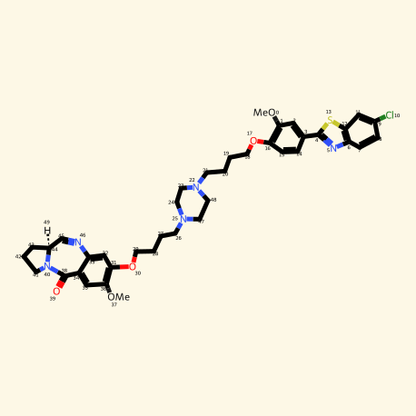 COc1cc(-c2nc3ccc(Cl)cc3s2)ccc1OCCCCN1CCN(CCCCOc2cc3c(cc2OC)C(=O)N2CCC[C@H]2C=N3)CC1